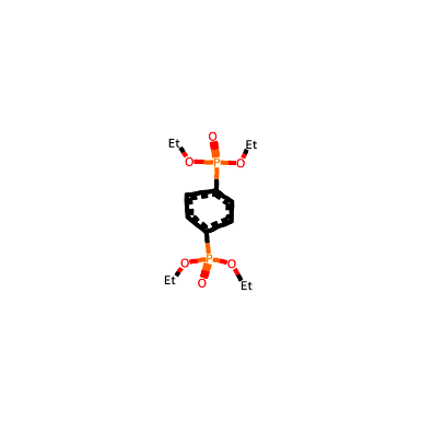 CCOP(=O)(OCC)c1ccc(P(=O)(OCC)OCC)cc1